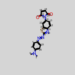 CN(C)c1ccc(N=Nc2nc3ccc(N4C(=O)C=CC4=O)cc3s2)cc1